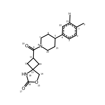 Cc1ccc(C2CCN(C(=O)C3CC4(COC(=O)N4)C3)CC2)cc1C